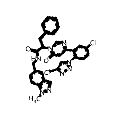 Cn1ncc2cc(CNC(=O)C(Cc3ccccc3)n3cnc(-c4cc(Cl)ccc4-n4cc(Cl)nn4)cc3=O)ccc21